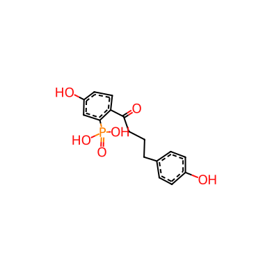 O=C(CCCc1ccc(O)cc1)c1ccc(O)cc1P(=O)(O)O